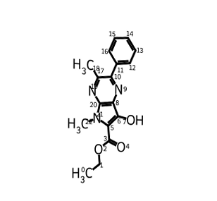 CCOC(=O)c1c(O)c2nc(-c3ccccc3)c(C)nc2n1C